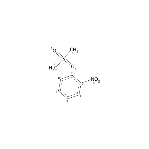 CS(C)(=O)=O.O=[N+]([O-])c1ccccc1